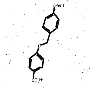 CCCCCc1ccc(COc2ccc(C(=O)O)cc2)cc1